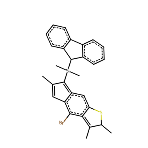 CC1=Cc2c(Br)c3c(cc2=C1[Si](C)(C)C1c2ccccc2-c2ccccc21)SC(C)C=3C